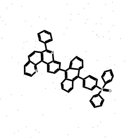 O=P(c1ccccc1)(c1ccccc1)c1ccc(-c2c3ccccc3c(-c3ccc4c(c3)nc(-c3ccccc3)c3ccc5cccnc5c34)c3ccccc23)cc1